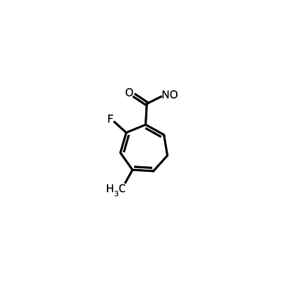 CC1=CCC=C(C(=O)N=O)C(F)=C1